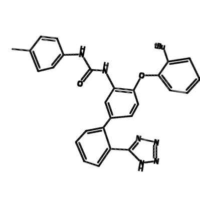 Cc1ccc(NC(=O)Nc2cc(-c3ccccc3-c3nnn[nH]3)ccc2Oc2ccccc2C(C)(C)C)cc1